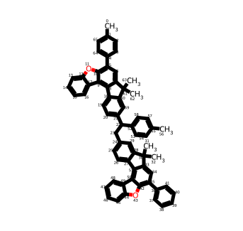 Cc1ccc(-c2cc3c(c4c2oc2ccccc24)-c2ccc(C(Cc4ccc5c(c4)C(C)(C)c4cc(-c6ccccc6)c6oc7ccccc7c6c4-5)c4ccc(C)cc4)cc2C3(C)C)cc1